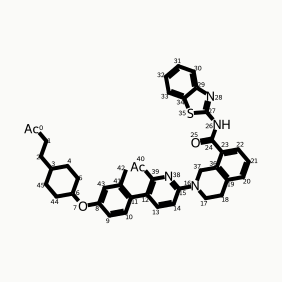 CC(=O)CCC1CCC(Oc2ccc(-c3ccc(N4CCc5cccc(C(=O)Nc6nc7ccccc7s6)c5C4)nc3C(C)=O)c(C)c2)CC1